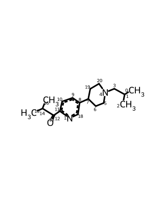 CC(C)CN1CCC(c2ccc(C(=O)C(C)C)nc2)CC1